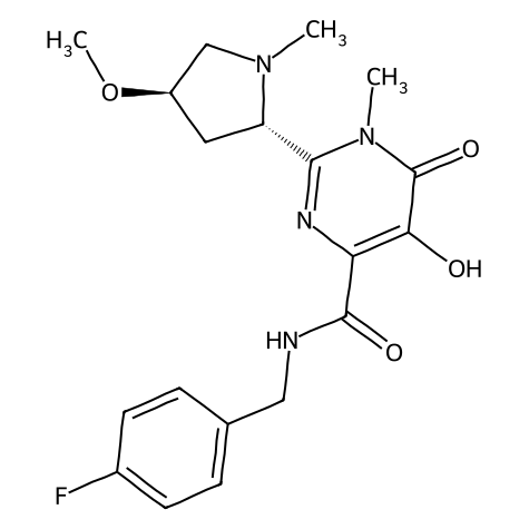 CO[C@@H]1C[C@@H](c2nc(C(=O)NCc3ccc(F)cc3)c(O)c(=O)n2C)N(C)C1